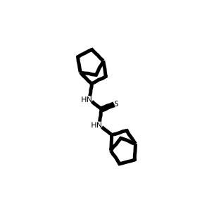 S=C(NC1CC2CCC1C2)NC1CC2CCC1C2